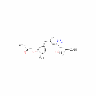 COC(=O)COc1cc(CC(CC(N)C(O)CC(C)C(=O)O)C(C)C)ccc1C(C)(C)C